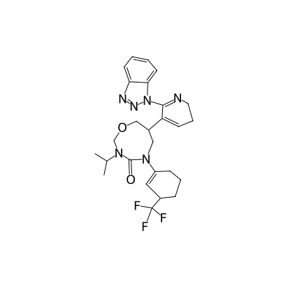 CC(C)N1COCC(C2=CCCN=C2n2nnc3ccccc32)CN(C2=CC(C(F)(F)F)CCC2)C1=O